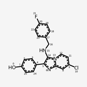 Oc1ccc(-c2nc3cc(Cl)ccn3c2NCc2ccc(F)cc2)cc1